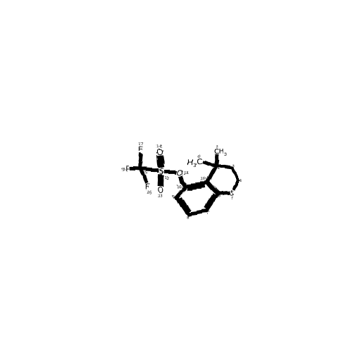 CC1(C)CCSc2cccc(OS(=O)(=O)C(F)(F)F)c21